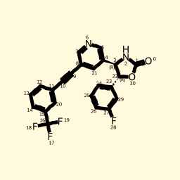 O=C1N[C@H](c2cncc(C#Cc3cccc(C(F)(F)F)c3)c2)[C@@H](c2cccc(F)c2)O1